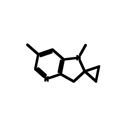 Cc1cnc2c(c1)N(C)C1(CC1)C2